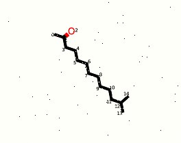 CC(=O)CCCCCCCCCC(C)C